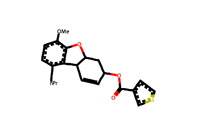 CCCc1ccc(OC)c2c1C1C=CC(OC(=O)c3ccsc3)CC1O2